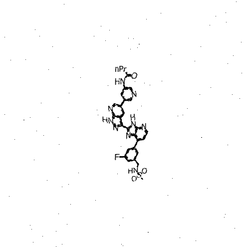 CCCC(=O)Nc1cncc(-c2cnc3[nH]nc(-c4nc5c(-c6cc(F)cc(CNS(C)(=O)=O)c6)ccnc5[nH]4)c3c2)c1